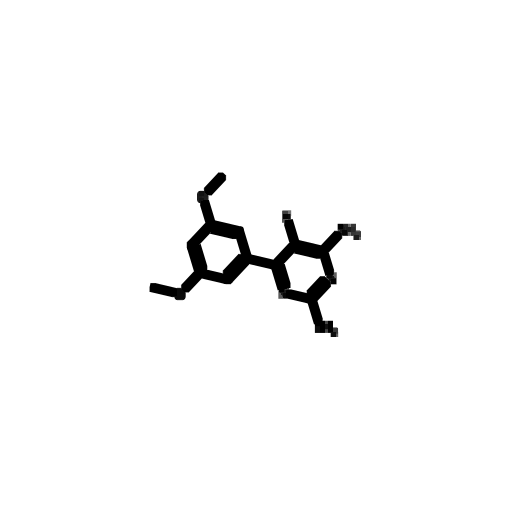 COc1cc(OC)cc(-c2nc(N)nc(N)c2F)c1